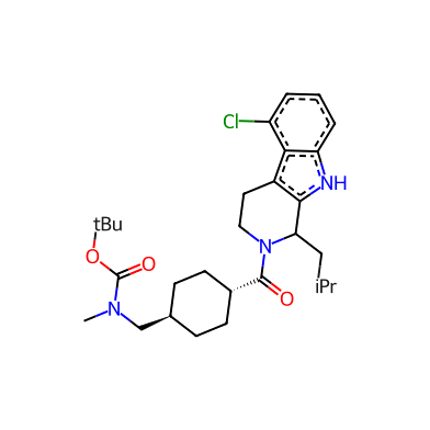 CC(C)CC1c2[nH]c3cccc(Cl)c3c2CCN1C(=O)[C@H]1CC[C@H](CN(C)C(=O)OC(C)(C)C)CC1